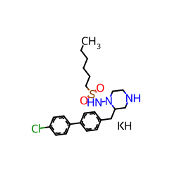 CCCCCCS(=O)(=O)NN1CCNCC1Cc1ccc(-c2ccc(Cl)cc2)cc1.[KH]